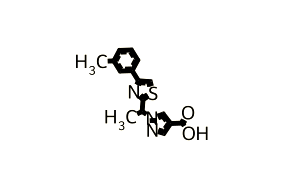 Cc1cccc(-c2csc(C(C)n3cc(C(=O)O)cn3)n2)c1